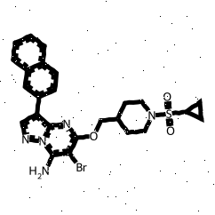 Nc1c(Br)c(OCC2CCN(S(=O)(=O)C3CC3)CC2)nc2c(-c3ccc4ccccc4c3)cnn12